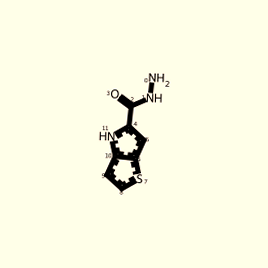 NNC(=O)c1cc2sccc2[nH]1